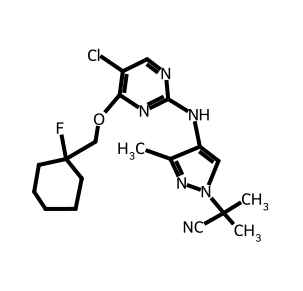 Cc1nn(C(C)(C)C#N)cc1Nc1ncc(Cl)c(OCC2(F)CCCCC2)n1